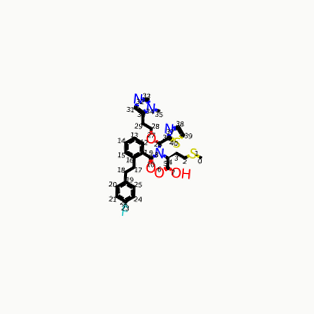 CSCC[C@@H](C(=O)O)N(C(=O)c1ccccc1CCc1ccc(F)cc1)C(OCCc1cncn1C)c1nccs1